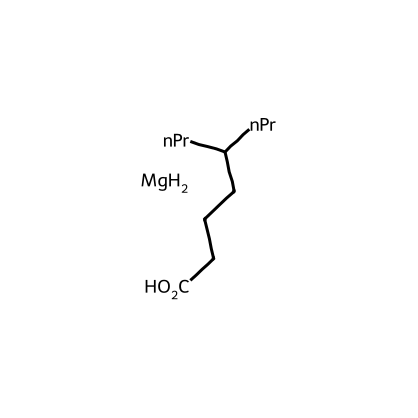 CCCC(CCC)CCCC(=O)O.[MgH2]